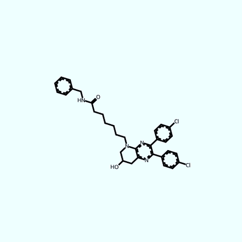 O=C(CCCCCCN1CC(O)Cc2nc(-c3ccc(Cl)cc3)c(-c3ccc(Cl)cc3)nc21)NCc1ccccc1